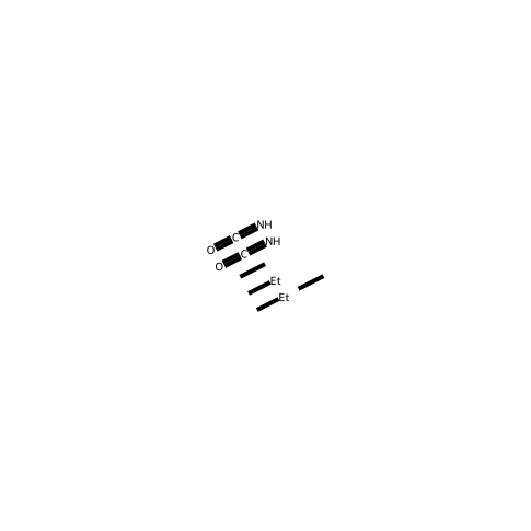 CC.CC.CCC.CCC.N=C=O.N=C=O